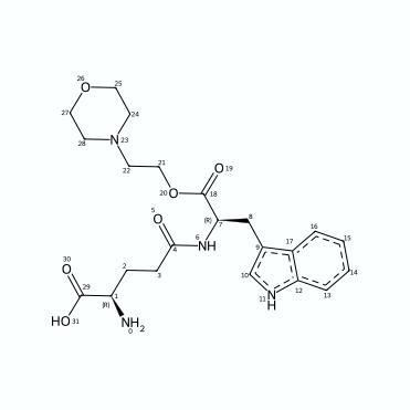 N[C@H](CCC(=O)N[C@H](Cc1c[nH]c2ccccc12)C(=O)OCCN1CCOCC1)C(=O)O